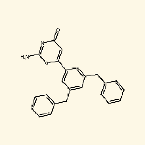 Nc1nc(=O)cc(-c2cc(Cc3ccccc3)cc(Cc3ccccc3)c2)o1